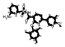 COc1ncc(-c2ccc(C(=O)NS(=O)(=O)c3cccc(N)n3)c(Oc3c(C)cc(C)cc3C)n2)cc1C